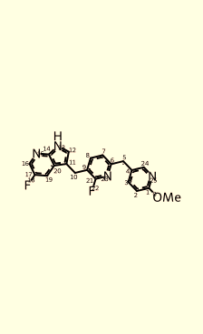 COc1ccc([CH]c2ccc(Cc3c[nH]c4ncc(F)cc34)c(F)n2)cn1